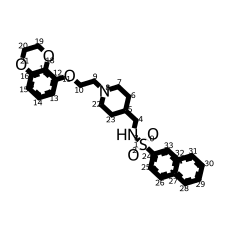 O=S(=O)(NCC1CCN(CCOc2cccc3c2OCCO3)CC1)c1ccc2ccccc2c1